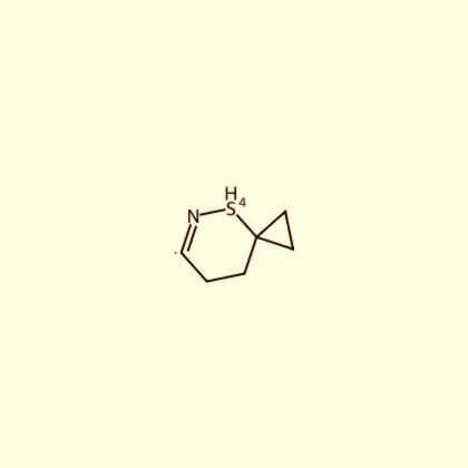 [C]1=N[SH4]C2(CC1)CC2